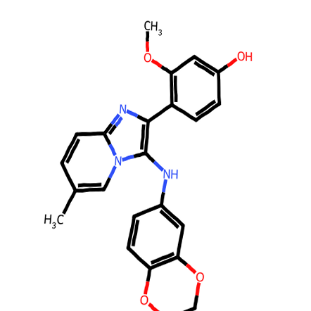 COc1cc(O)ccc1-c1nc2ccc(C)cn2c1Nc1ccc2c(c1)OCCO2